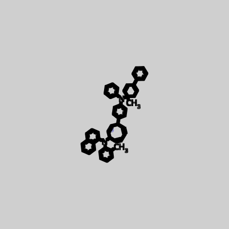 Cc1ccccc1N(c1cccc2ccccc12)C1C#CC#CC(c2ccc(N(c3ccccc3)C3(C)C=CC(c4ccccc4)=CC3)cc2)/C=C\1